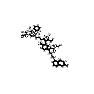 CCOC(=O)c1[nH]c2c(-c3c(CCCN(CCOS(C)(=O)=O)S(=O)(=O)c4ccccc4[N+](=O)[O-])nn(C)c3CC)c(Cl)ccc2c1CCCOc1cccc2cc(F)ccc12